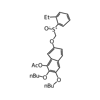 CCCCOc1cc2ccc(OC[S+]([O-])c3ccccc3CC)cc2c(OC(C)=O)c1OCCCC